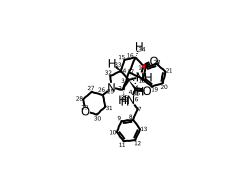 O=C1N[C@@]2(C(=O)NCc3ccccc3)[C@H]3C[C@@H]1[C@@H](c1ccccc1)[C@@H]2N(C1CCOCC1)C3